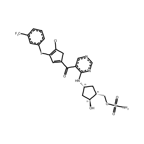 NS(=O)(=O)OC[C@H]1C[C@@H](Nc2ncncc2C(=O)C2=CC(Sc3cccc(C(F)(F)F)c3)=C(Cl)C2)C[C@@H]1O